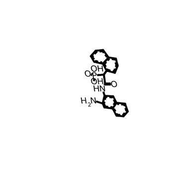 Nc1cc2ccccc2cc1NC(=O)C(c1cccc2ccccc12)P(=O)(O)O